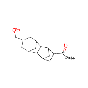 COC(=O)C1CC2CC1C1C3CC(CO)CC(C3)C21